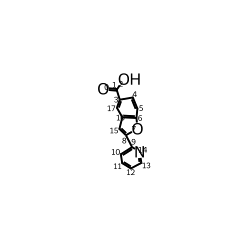 O=C(O)c1ccc2oc(-c3ccccn3)cc2c1